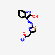 NC(=O)Cc1csc(/N=N/c2c(O)[nH]c3ccccc23)n1